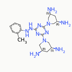 Cc1ccccc1NNc1nc(N2C[C@H](N)C[C@H](N)C2)nc(N2C[C@H](N)C[C@H](N)C2)n1